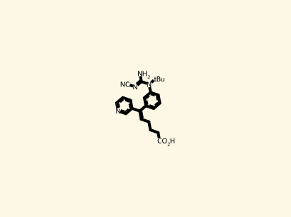 CC(C)(C)N(C(N)=NC#N)c1cccc(/C(=C\CCCC(=O)O)c2cccnc2)c1